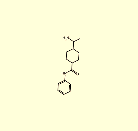 CC(N)C1CCC(C(=O)Nc2ccccc2)CC1